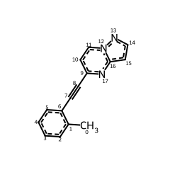 Cc1ccccc1C#Cc1ccn2nccc2n1